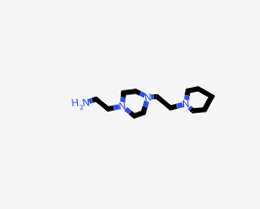 NCCN1CCN(CCN2CCCCC2)CC1